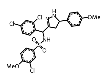 COc1ccc(C2CC(C(NS(=O)(=O)c3ccc(OC)c(Cl)c3)c3ccc(Cl)cc3Cl)=NN2)cc1